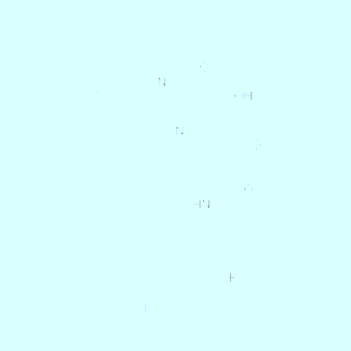 CCN1C(=O)c2c(O)c(=O)c(C(=O)NCc3ccc(F)cc3F)cn2CC12CCOCC2